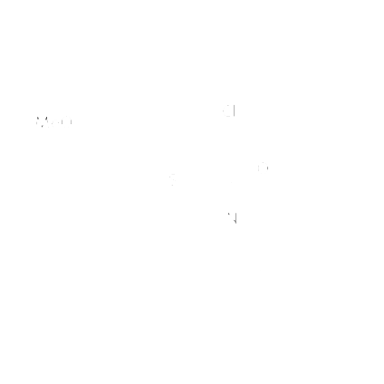 COc1ccc2c(Cl)c(C(=O)N3CCCc4cc(C)ccc43)sc2c1